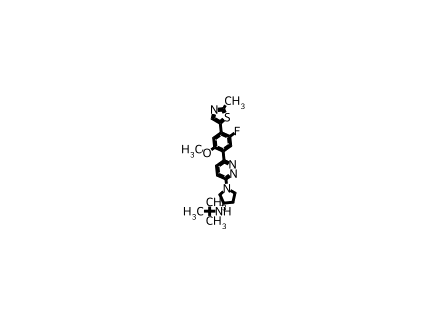 COc1cc(-c2cnc(C)s2)c(F)cc1-c1ccc(N2CC[C@H](NC(C)(C)C)C2)nn1